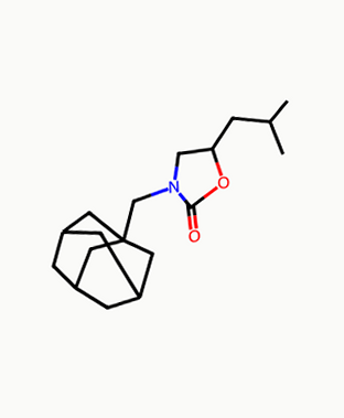 CC(C)CC1CN(CC23CC4CC(CC(C4)C2)C3)C(=O)O1